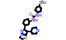 CC(C)(C)c1ccc(NC(=O)Nc2cccc(-c3nn4c(c3-c3ccncc3)SCC4)c2)cc1